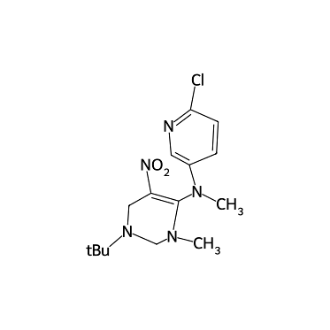 CN1CN(C(C)(C)C)CC([N+](=O)[O-])=C1N(C)c1ccc(Cl)nc1